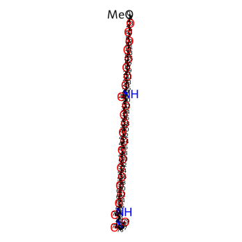 COCCOCCOCCOCCOCCOCCOCCOCCOCCNC(=O)CCOCCOCCOCCOCCOCCOCCOCCOCCOCCOCCOCCOCCNC(=O)CCN1C(=O)C=CC1=O